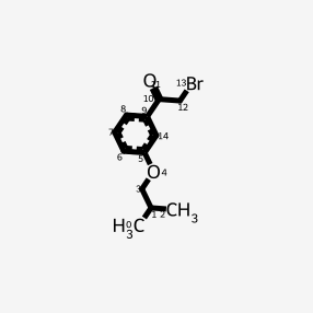 CC(C)COc1cccc(C(=O)CBr)c1